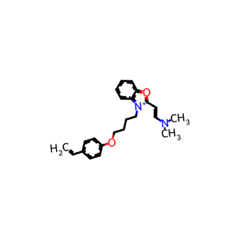 C=Cc1ccc(OCCCC[n+]2c(C=CN(C)C)oc3ccccc32)cc1